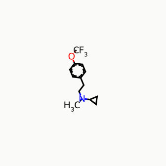 CN(CCc1ccc(OC(F)(F)F)cc1)C1CC1